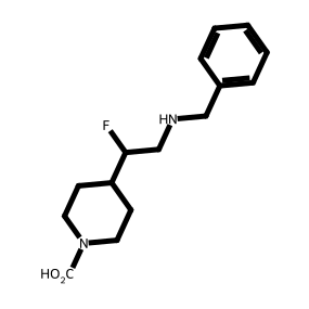 O=C(O)N1CCC(C(F)CNCc2ccccc2)CC1